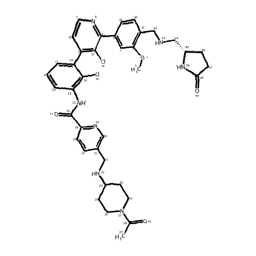 COc1cc(-c2nccc(-c3cccc(NC(=O)c4ccc(CNC5CCN(C(C)=O)CC5)cn4)c3Cl)c2Cl)ccc1CNC[C@@H]1CCC(=O)N1